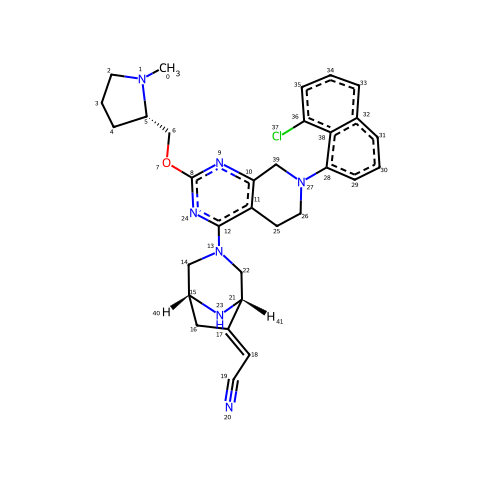 CN1CCC[C@H]1COc1nc2c(c(N3C[C@H]4CC(=CC#N)[C@@H](C3)N4)n1)CCN(c1cccc3cccc(Cl)c13)C2